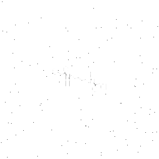 O=C(CCl)NCCCCCCNC(=O)CCl